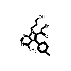 Cc1ccc(C2=C(C(=O)CBr)N(CCCO)C3N=CN=C(N)C23)cc1